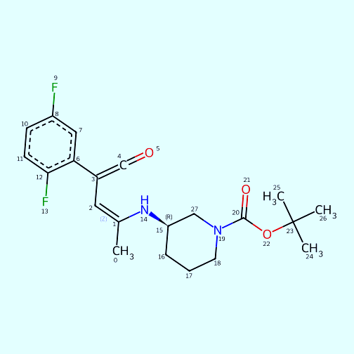 C/C(=C/C(=C=O)c1cc(F)ccc1F)N[C@@H]1CCCN(C(=O)OC(C)(C)C)C1